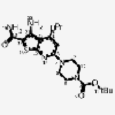 CCCc1cc(N2CCN(C(=O)OC(C)(C)C)CC2)nc2sc(C(N)=O)c(N)c12